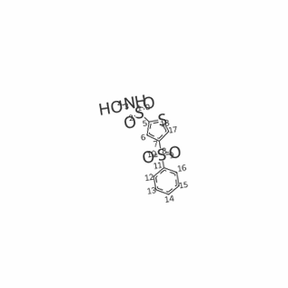 O=S(=O)(NO)c1cc(S(=O)(=O)c2ccccc2)cs1